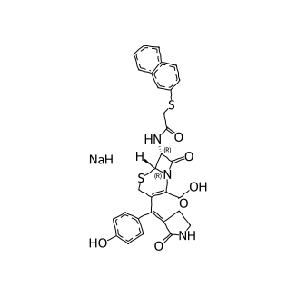 O=C(CSc1ccc2ccccc2c1)N[C@@H]1C(=O)N2C(C(=O)O)=C(C(=C3CCNC3=O)c3ccc(O)cc3)CS[C@H]12.[NaH]